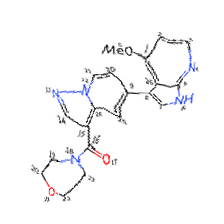 COc1ccnc2[nH]cc(-c3ccn4ncc(C(=O)N5CCOCC5)c4c3)c12